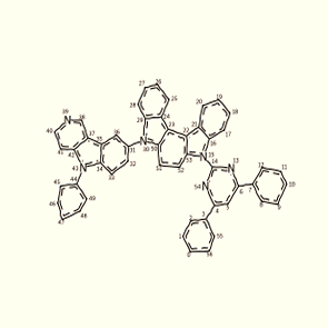 c1ccc(-c2cc(-c3ccccc3)nc(-n3c4ccccc4c4c5c6ccccc6n(-c6ccc7c(c6)c6cnccc6n7-c6ccccc6)c5ccc43)n2)cc1